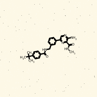 CNC(=O)c1nc(-c2cccc(CNC(=O)c3ccc(C(C)(C)C)cc3)c2)cnc1N